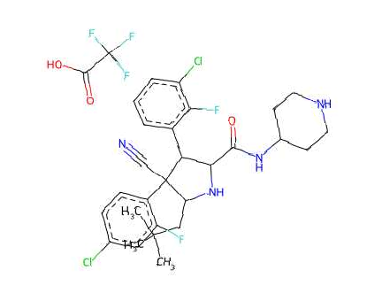 CC(C)(C)CC1NC(C(=O)NC2CCNCC2)C(c2cccc(Cl)c2F)C1(C#N)c1ccc(Cl)cc1F.O=C(O)C(F)(F)F